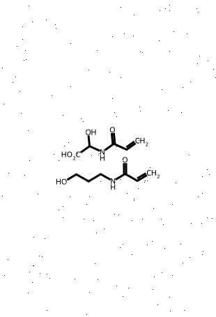 C=CC(=O)NC(O)C(=O)O.C=CC(=O)NCCCO